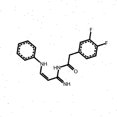 N=C(/C=C\Nc1ccccc1)NC(=O)Cc1ccc(F)c(F)c1